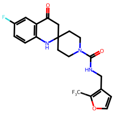 O=C1CC2(CCN(C(=O)NCc3ccoc3C(F)(F)F)CC2)Nc2ccc(F)cc21